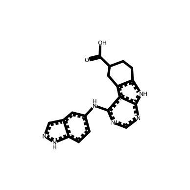 O=C(O)C1CCc2[nH]c3ncnc(Nc4ccc5[nH]ncc5c4)c3c2C1